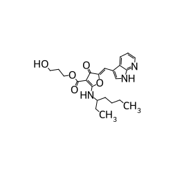 CCCCC(CC)NC1=C(C(=O)OCCCO)C(=O)/C(=C/c2c[nH]c3ncccc23)O1